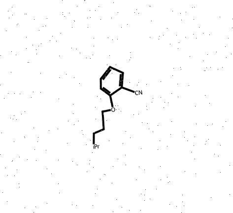 CC(C)CCCOc1ccccc1C#N